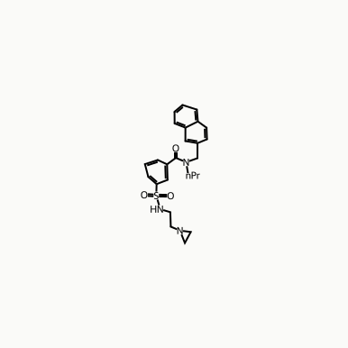 CCCN(Cc1ccc2ccccc2c1)C(=O)c1cccc(S(=O)(=O)NCCN2CC2)c1